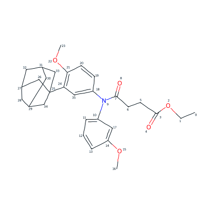 CCOC(=O)CCC(=O)N(c1cccc(OC)c1)c1ccc(OC)c(C23CC4CC(CC(C4)C2)C3)c1